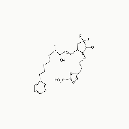 C[C@@H](CCCCCc1ccccc1)[C@@H](O)C=CC1CC(F)(F)C(=O)N1CCCc1ccc(C(=O)O)s1